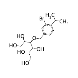 CC(C)c1ccc(CO[C@@H]([C@H](O)[C@@H](O)CO)[C@H](O)CO)cc1Br